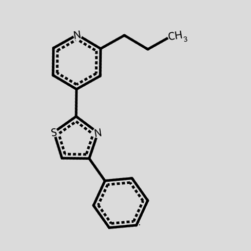 CCCc1cc(-c2nc(-c3cc[c]cc3)cs2)ccn1